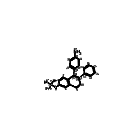 CC(C)[Si](Oc1ccc2c(c1)CC[C@H](c1ccccc1)[C@@H]2c1ccc(N)cc1)(C(C)C)C(C)C